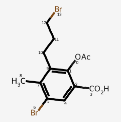 CC(=O)Oc1c(C(=O)O)cc(Br)c(C)c1CCCBr